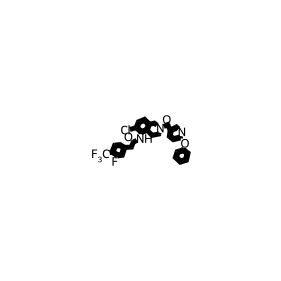 O=C(Cc1ccc(C(F)(F)F)c(F)c1)Nc1c(Cl)ccc2c1CCN(C(=O)c1ccc(Oc3ccccc3)nc1)C2